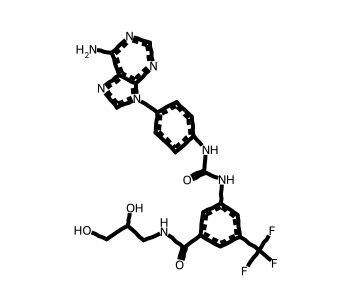 Nc1ncnc2c1ncn2-c1ccc(NC(=O)Nc2cc(C(=O)NCC(O)CO)cc(C(F)(F)F)c2)cc1